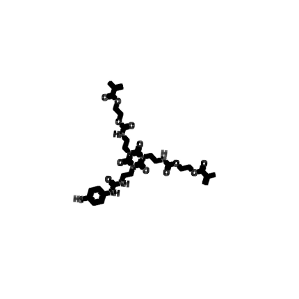 C=C(C)C(=O)OCCOC(=O)NCCn1c(=O)n(CCNC(=O)Nc2ccc(S)cc2)c(=O)n(CCNC(=O)OCCOC(=O)C(=C)C)c1=O